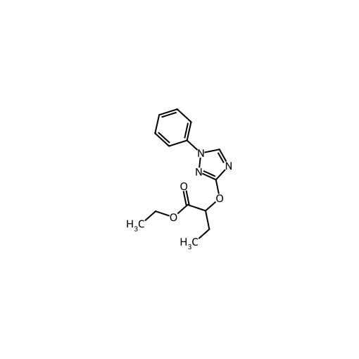 CCOC(=O)C(CC)Oc1ncn(-c2ccccc2)n1